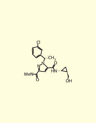 CNC(=O)c1cc(C(=O)N[C@@H]2C[C@H]2CO)n([C@@H](C)c2cccc(Cl)c2)n1